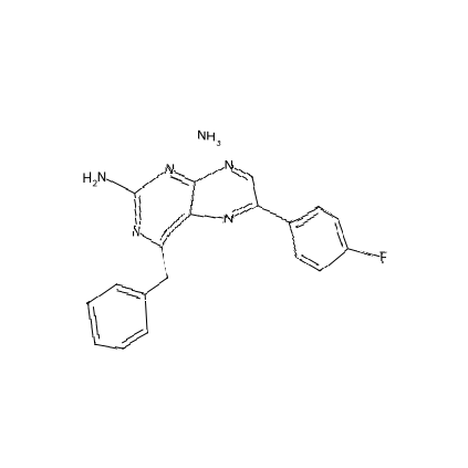 N.Nc1nc(Cc2ccccc2)c2nc(-c3ccc(F)cc3)cnc2n1